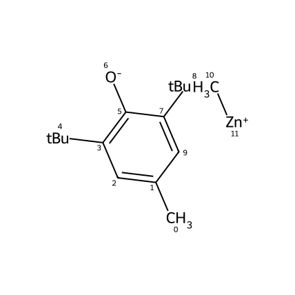 Cc1cc(C(C)(C)C)c([O-])c(C(C)(C)C)c1.[CH3][Zn+]